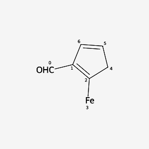 O=CC1=[C]([Fe])CC=C1